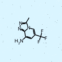 Cc1nnc2c(N)cc(C(F)(F)F)cn12